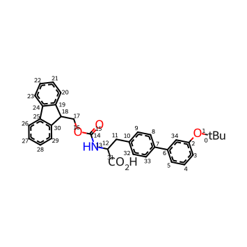 CC(C)(C)Oc1cccc(-c2ccc(CC(NC(=O)OCC3c4ccccc4-c4ccccc43)C(=O)O)cc2)c1